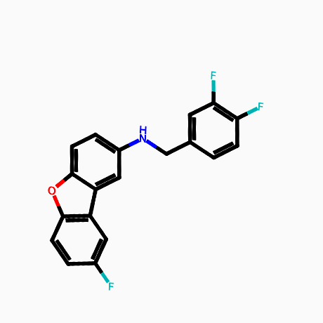 Fc1ccc2oc3ccc(NCc4ccc(F)c(F)c4)cc3c2c1